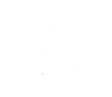 C=C(C)C(=O)OCC(=O)OC1=C2OC(=O)C3CC1[C@@H](C)C23